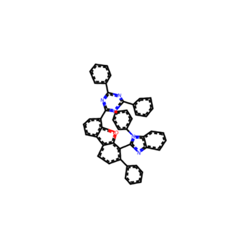 c1ccc(-c2nc(-c3ccccc3)nc(-c3cccc4c3oc3c(-c5nc6ccccc6n5-c5ccccc5)c(-c5ccccc5)ccc34)n2)cc1